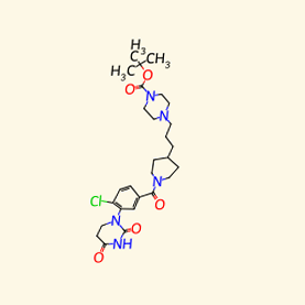 CC(C)(C)OC(=O)N1CCN(CCCC2CCN(C(=O)c3ccc(Cl)c(N4CCC(=O)NC4=O)c3)CC2)CC1